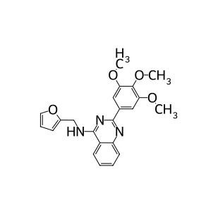 COc1cc(-c2nc(NCc3ccco3)c3ccccc3n2)cc(OC)c1OC